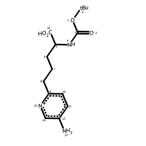 CC(C)(C)OC(=O)NC(CCCc1ccc(N)cn1)C(=O)O